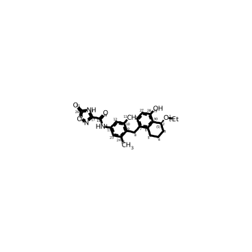 CCO[C@H]1CCCc2c(Cc3c(C)cc(NC(=O)c4noc(=O)[nH]4)cc3C)ccc(O)c21